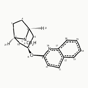 O=C(O)N1[C@@H]2CC[C@H]1C[C@@H](Oc1ccc3ccccc3n1)C2